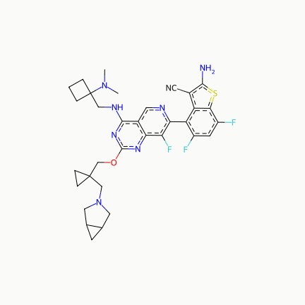 CN(C)C1(CNc2nc(OCC3(CN4CC5CC5C4)CC3)nc3c(F)c(-c4c(F)cc(F)c5sc(N)c(C#N)c45)ncc23)CCC1